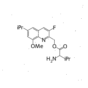 COc1cc(C(C)C)cc2cc(F)c(COC(=O)C(N)C(C)C)nc12